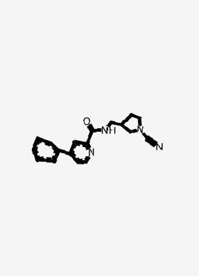 N#CN1CCC(CNC(=O)c2cc(-c3ccccc3)ccn2)C1